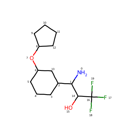 NC(C1CCCC(OC2CCCC2)C1)C(O)C(F)(F)F